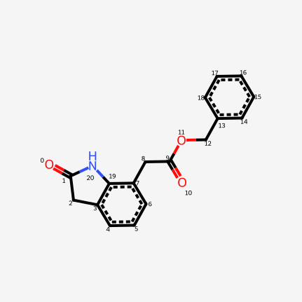 O=C1Cc2cccc(CC(=O)OCc3ccccc3)c2N1